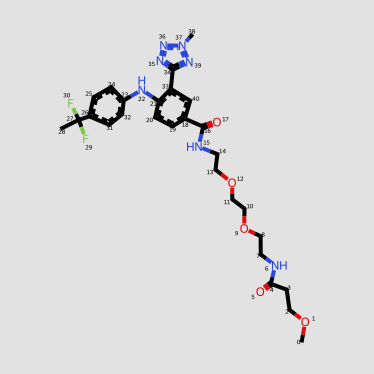 COCCC(=O)NCCOCCOCCNC(=O)c1ccc(Nc2ccc(C(C)(F)F)cc2)c(-c2nnn(C)n2)c1